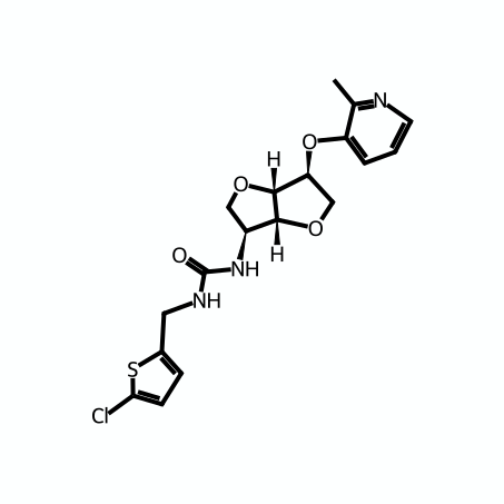 Cc1ncccc1O[C@H]1CO[C@H]2[C@@H]1OC[C@@H]2NC(=O)NCc1ccc(Cl)s1